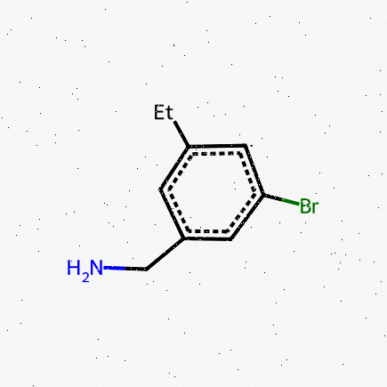 CCc1[c]c(Br)cc(CN)c1